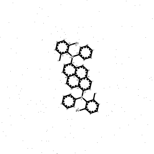 Cc1cccc(C(C)C)c1N(c1ccccc1)c1ccc2ccc3c(N(c4ccccc4)c4c(C)cccc4C(C)C)ccc4ccc1c2c43